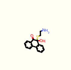 NCCSC1(O)C(=O)c2ccccc2-c2ccccc21